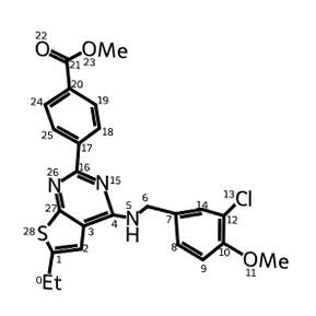 CCc1cc2c(NCc3ccc(OC)c(Cl)c3)nc(-c3ccc(C(=O)OC)cc3)nc2s1